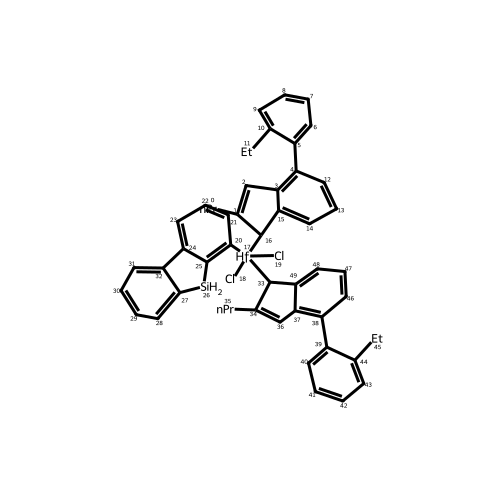 CCCC1=Cc2c(-c3ccccc3CC)cccc2[CH]1[Hf]([Cl])([Cl])([c]1cccc2c1[SiH2]c1ccccc1-2)[CH]1C(CCC)=Cc2c(-c3ccccc3CC)cccc21